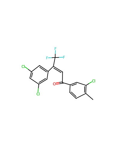 Cc1ccc(C(=O)/C=C(\c2cc(Cl)cc(Cl)c2)C(F)(F)F)cc1Cl